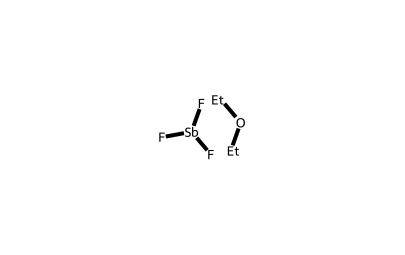 CCOCC.[F][Sb]([F])[F]